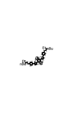 CCCCC(CC)CCc1ccc(-c2ccc(-c3c4c(c(-c5ccc(-c6ccc(CCC(CC)CCCC)cc6)s5)c5nonc35)N=S=N4)s2)cc1